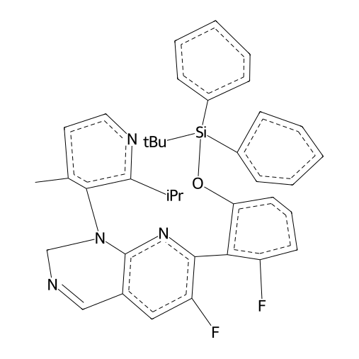 Cc1ccnc(C(C)C)c1N1CN=Cc2cc(F)c(-c3c(F)cccc3O[Si](c3ccccc3)(c3ccccc3)C(C)(C)C)nc21